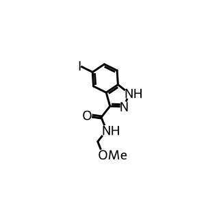 COCNC(=O)c1n[nH]c2ccc(I)cc12